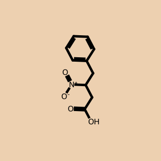 O=C(O)CC(Cc1ccccc1)[N+](=O)[O-]